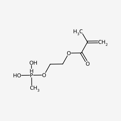 C=C(C)C(=O)OCCO[PH](C)(O)O